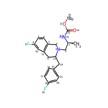 C[C@@H](CN1Cc2ccc(F)cc2CC1Cc1ccc(F)cc1)NC(=O)OC(C)(C)C